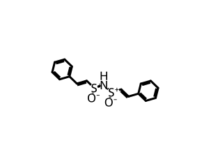 [O-][S+](C=Cc1ccccc1)N[S+]([O-])C=Cc1ccccc1